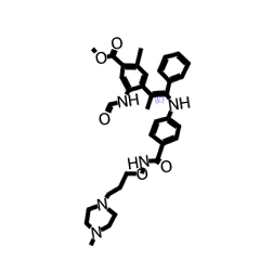 COC(=O)c1cc(NC=O)c(/C(C)=C(/Nc2ccc(C(=O)NOCCCN3CCN(C)CC3)cc2)c2ccccc2)cc1C